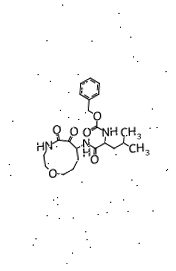 CC(C)CC(NC(=O)OCc1ccccc1)C(=O)NC1CCCOCCNC(=O)C1=O